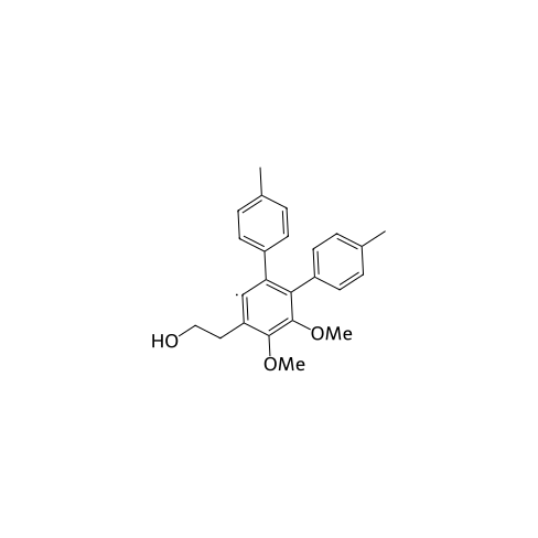 COc1c(CCO)[c]c(-c2ccc(C)cc2)c(-c2ccc(C)cc2)c1OC